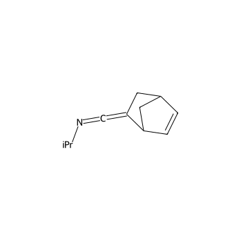 CC(C)N=C=C1CC2C=CC1C2